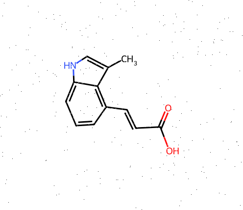 Cc1c[nH]c2cccc(C=CC(=O)O)c12